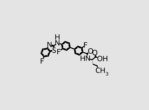 CCC[C@H](NC(=O)c1ccc(-c2ccc(Nc3nc4ccc(F)cc4s3)c(F)c2)cc1F)C(=O)O